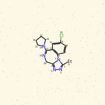 CCc1nnc2n1-c1ccc(Cl)cc1C(N1CCCC1)=NC2